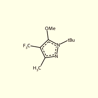 COc1c(C(F)(F)F)c(C)nn1C(C)(C)C